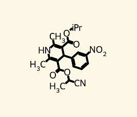 CC1=C(C(=O)OC(C)C)C(c2cccc([N+](=O)[O-])c2)C(C(=O)OC(C)C#N)=C(C)N1